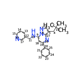 CC(C)(C)Cc1cnn2c(NCc3cccnc3)cc(-c3ccccc3)nc12